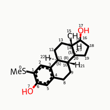 CSc1cc2c(cc1O)CC[C@@H]1[C@@H]2CC[C@]2(C)[C@@H](O)CC[C@@H]12